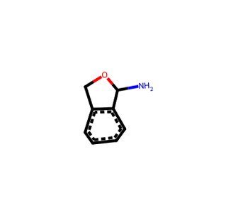 NC1OCc2ccccc21